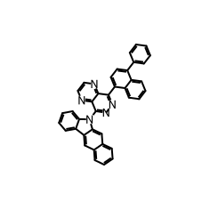 c1ccc(-c2ccc(-c3nnc(-n4c5ccccc5c5cc6ccccc6cc54)c4nccnc34)c3ccccc23)cc1